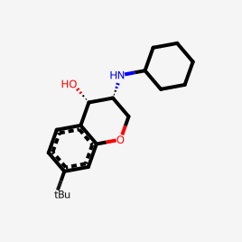 CC(C)(C)c1ccc2c(c1)OC[C@@H](NC1CCCCC1)[C@H]2O